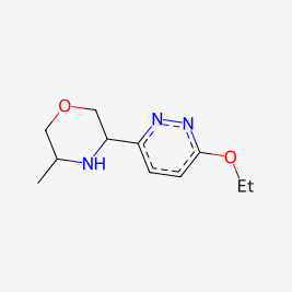 CCOc1ccc(C2COCC(C)N2)nn1